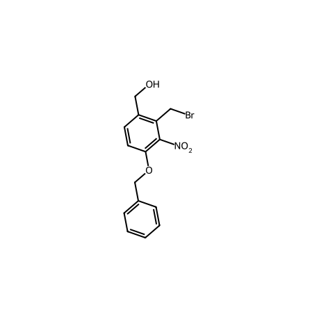 O=[N+]([O-])c1c(OCc2ccccc2)ccc(CO)c1CBr